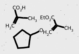 C=C(C)C(=O)O.C=C(C)C(=O)OCC.[O]C1CCCC1